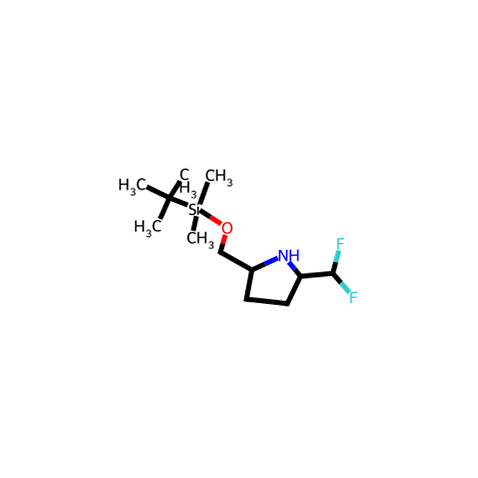 CC(C)(C)[Si](C)(C)OCC1CCC(C(F)F)N1